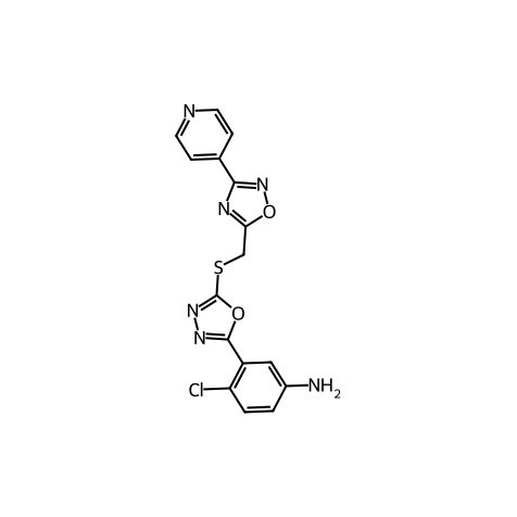 Nc1ccc(Cl)c(-c2nnc(SCc3nc(-c4ccncc4)no3)o2)c1